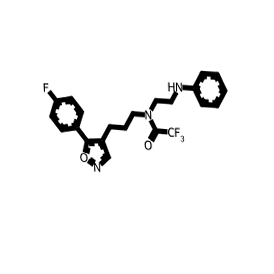 O=C(N(CCCc1cnoc1-c1ccc(F)cc1)CCNc1ccccc1)C(F)(F)F